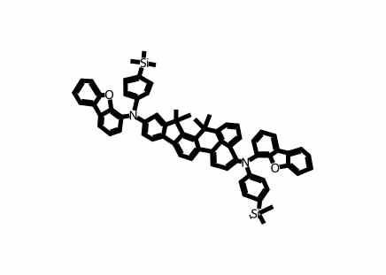 CC1(C)c2cc(N(c3ccc([Si](C)(C)C)cc3)c3cccc4c3oc3ccccc34)ccc2-c2ccc3c(c21)C(C)(C)c1cccc2c(N(c4ccc([Si](C)(C)C)cc4)c4cccc5c4oc4ccccc45)ccc-3c12